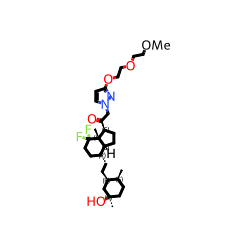 COCCOCCOc1ccn(CC(=O)[C@H]2CC[C@H]3[C@H](CC[C@@H]4C[C@](C)(O)CC[C@@H]4C)CCC(F)(F)[C@]23C)n1